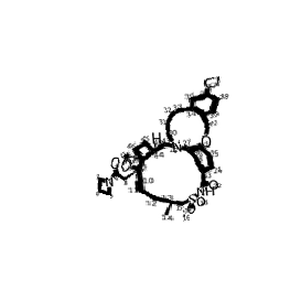 CO[C@@]1(CC(=O)N2CCC2)/C=C/C[C@H](C)[C@@H](C)S(=O)(=O)NC(=O)c2ccc3c(c2)N(CCCCc2cc(Cl)ccc2CO3)C[C@@H]2CC[C@H]21